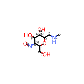 CNCC1OC(CO)[C@@H](N=O)C(O)[C@@H]1O